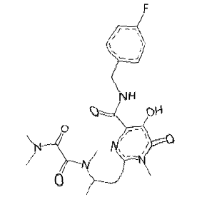 CC(Cc1nc(C(=O)NCc2ccc(F)cc2)c(O)c(=O)n1C)N(C)C(=O)C(=O)N(C)C